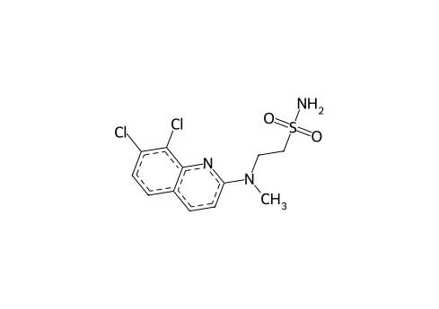 CN(CCS(N)(=O)=O)c1ccc2ccc(Cl)c(Cl)c2n1